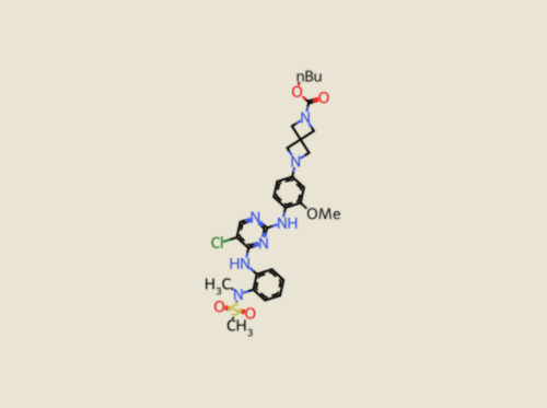 CCCCOC(=O)N1CC2(C1)CN(c1ccc(Nc3ncc(Cl)c(Nc4ccccc4N(C)S(C)(=O)=O)n3)c(OC)c1)C2